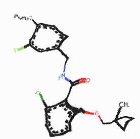 COc1ccc(CNC(=O)c2c(Cl)cccc2OCC2(C)CC2)cc1F